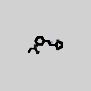 CC[NH+]([O-])c1cccc(/C=C/c2ncco2)c1